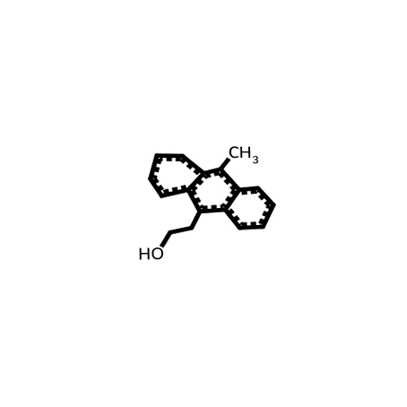 Cc1c2ccccc2c(CCO)c2ccccc12